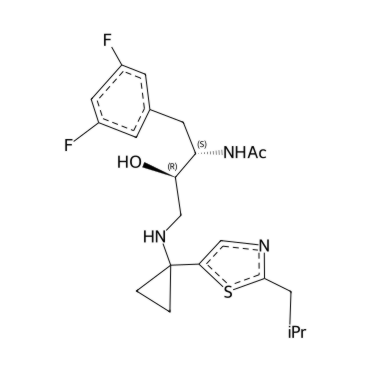 CC(=O)N[C@@H](Cc1cc(F)cc(F)c1)[C@H](O)CNC1(c2cnc(CC(C)C)s2)CC1